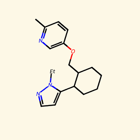 CCn1nccc1C1CCCCC1COc1ccc(C)nc1